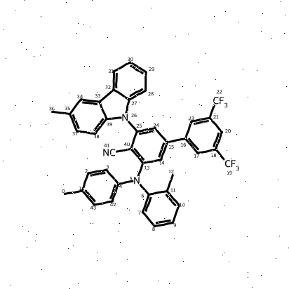 Cc1ccc(N(c2ccccc2C)c2cc(-c3cc(C(F)(F)F)cc(C(F)(F)F)c3)cc(-n3c4ccccc4c4cc(C)ccc43)c2C#N)cc1